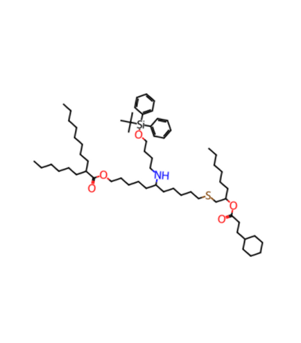 CCCCCCCCC(CCCCCC)C(=O)OCCCCCC(CCCCCSCC(CCCCCC)OC(=O)CCC1CCCCC1)NCCCCO[Si](c1ccccc1)(c1ccccc1)C(C)(C)C